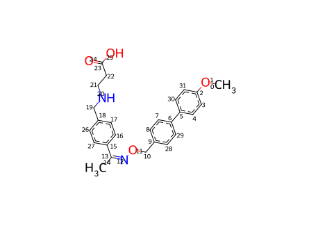 COc1ccc(-c2ccc(CON=C(C)c3ccc(CNCCC(=O)O)cc3)cc2)cc1